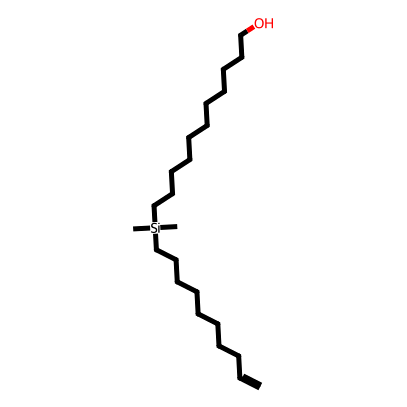 C=CCCCCCCCC[Si](C)(C)CCCCCCCCCCCO